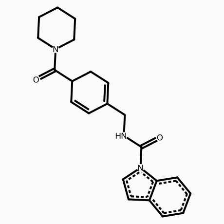 O=C(C1C=CC(CNC(=O)n2ccc3ccccc32)=CC1)N1CCCCC1